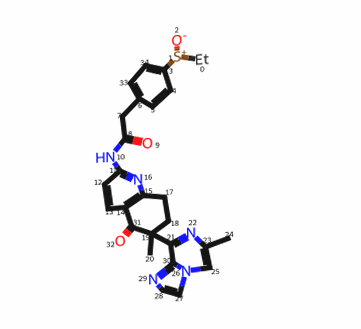 CC[S+]([O-])c1ccc(CC(=O)Nc2ccc3c(n2)CCC(C)(c2nc(C)cn4ccnc24)C3=O)cc1